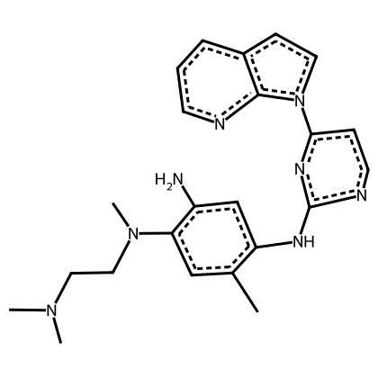 Cc1cc(N(C)CCN(C)C)c(N)cc1Nc1nccc(-n2ccc3cccnc32)n1